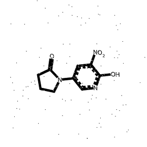 O=C1CCCN1c1cnc(O)c([N+](=O)[O-])c1